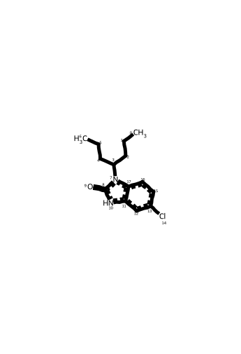 CCCC(CCC)n1c(=O)[nH]c2cc(Cl)ccc21